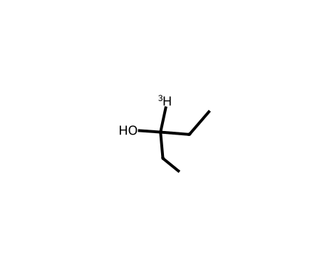 [3H]C(O)(CC)CC